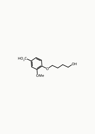 COc1cc(C(=O)O)ccc1OCCCCO